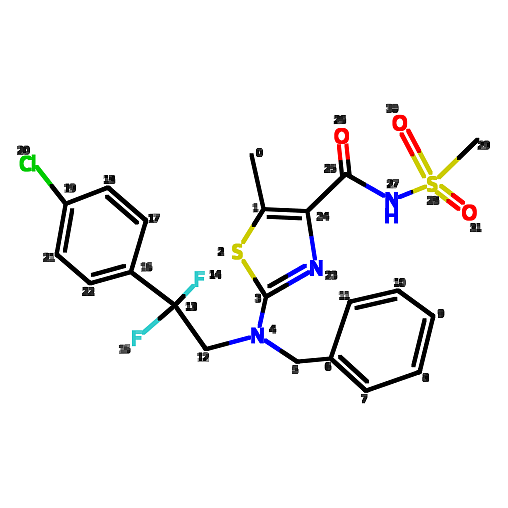 Cc1sc(N(Cc2ccccc2)CC(F)(F)c2ccc(Cl)cc2)nc1C(=O)NS(C)(=O)=O